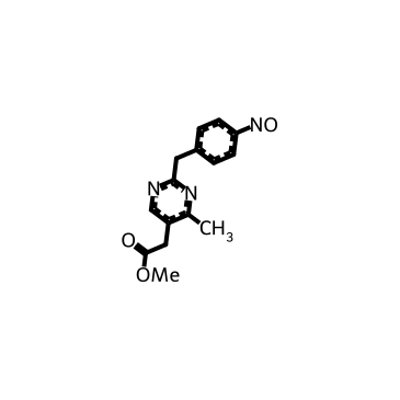 COC(=O)Cc1cnc(Cc2ccc(N=O)cc2)nc1C